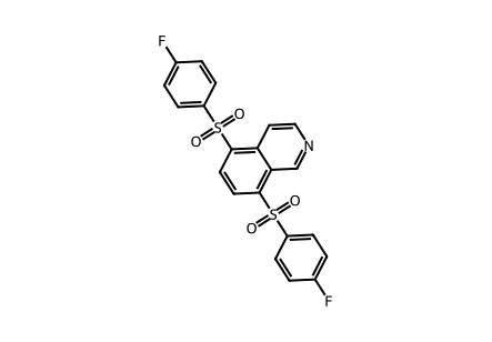 O=S(=O)(c1ccc(F)cc1)c1ccc(S(=O)(=O)c2ccc(F)cc2)c2cnccc12